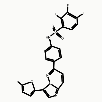 Cc1ccc(-c2cnc3ccc(-c4ccc(NS(=O)(=O)c5ccc(F)c(F)c5F)cc4)nn23)o1